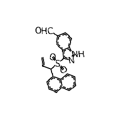 C=CC(c1cccc2ccccc12)S(=O)(=O)c1n[nH]c2ccc(C=O)cc12